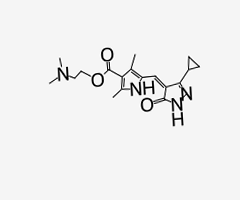 Cc1[nH]c(/C=C2\C(=O)NN=C2C2CC2)c(C)c1C(=O)OCCN(C)C